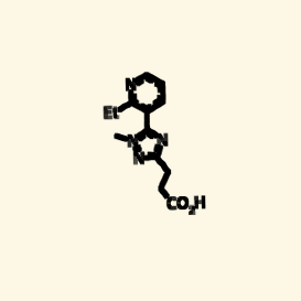 CCc1ncccc1-c1nc(CCC(=O)O)nn1C